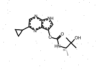 C[C@H](NC(=O)Oc1c[nH]c2ncc(C3CC3)nc12)C(C)(C)O